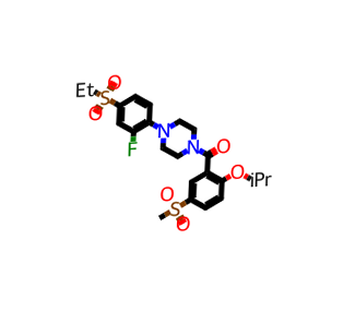 CCS(=O)(=O)c1ccc(N2CCN(C(=O)c3cc(S(C)(=O)=O)ccc3OC(C)C)CC2)c(F)c1